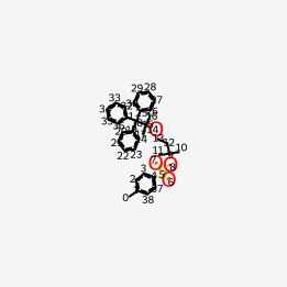 Cc1ccc(S(=O)(=O)OC(C)(C)CCOC(C)(C)C(c2ccccc2)(c2ccccc2)c2ccccc2)cc1